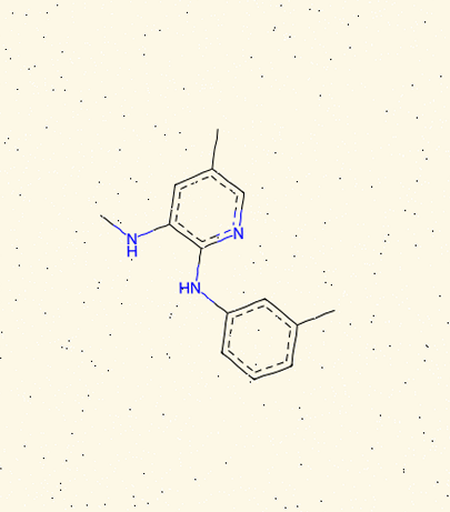 CNc1cc(C)cnc1Nc1cccc(C)c1